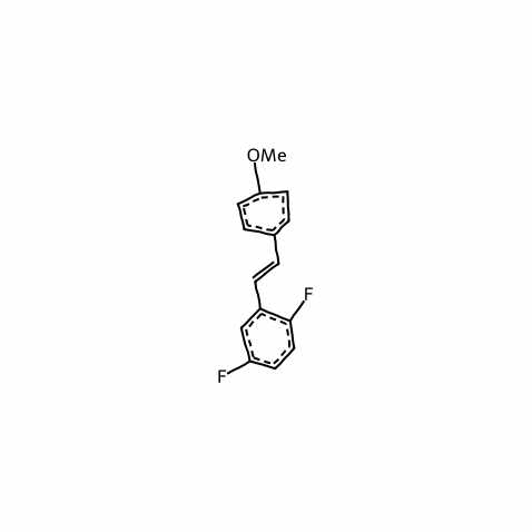 COc1ccc(C=Cc2cc(F)ccc2F)cc1